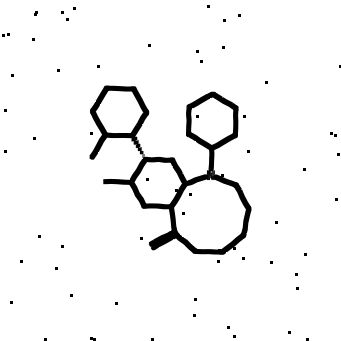 C=C1CCCCCN(C2CCCCC2)C2C[C@@H](C3CCCCC3C)C(C)CC12